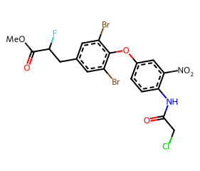 COC(=O)C(F)Cc1cc(Br)c(Oc2ccc(NC(=O)CCl)c([N+](=O)[O-])c2)c(Br)c1